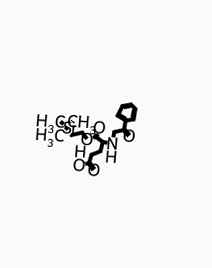 C[Si](C)(C)CCOC(=O)C(CCC(=O)O)NCC(=O)c1ccccc1